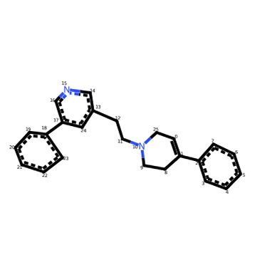 C1=C(c2ccccc2)CCN(CCc2cncc(-c3ccccc3)c2)C1